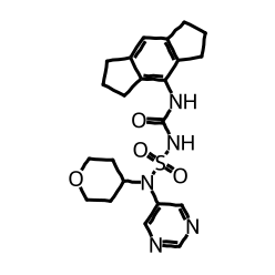 O=C(Nc1c2c(cc3c1CCC3)CCC2)NS(=O)(=O)N(c1cncnc1)C1CCOCC1